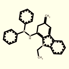 C=C1C=c2c(n(CC)c3ccccc23)=C(NN(c2ccccc2)c2ccccc2)C1